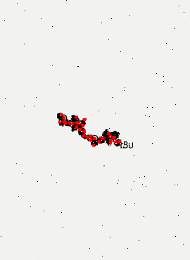 Cc1ccc2c(c1)B1c3ccc(C)cc3N(c3ccc(-c4cccc5c4oc4ccccc45)cc3)c3cc(C)cc(c31)N2c1ccc(C(C)(C)Cc2ccc3oc4c(-c5ccc(N6c7ccc(C)cc7B7c8ccc(C)cc8N(c8ccc(C(C)(C)C)cc8)c8cc(C)cc6c87)cc5)cccc4c3c2)cc1